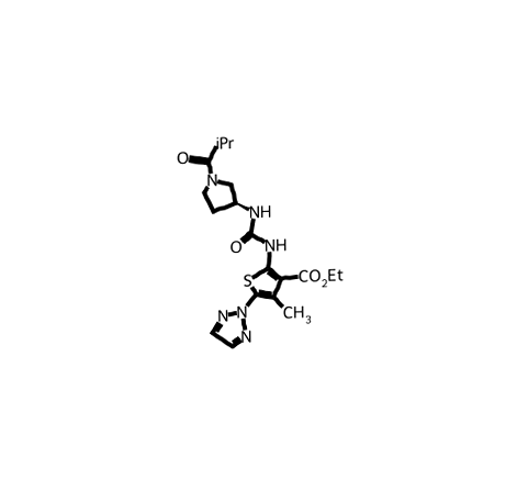 CCOC(=O)c1c(NC(=O)N[C@H]2CCN(C(=O)C(C)C)C2)sc(-n2nccn2)c1C